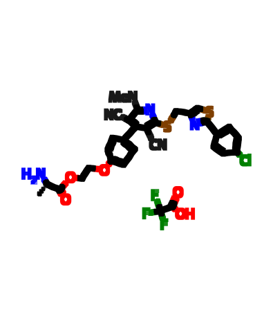 CNc1nc(SCc2csc(-c3ccc(Cl)cc3)n2)c(C#N)c(-c2ccc(OCCOC(=O)[C@H](C)N)cc2)c1C#N.O=C(O)C(F)(F)F